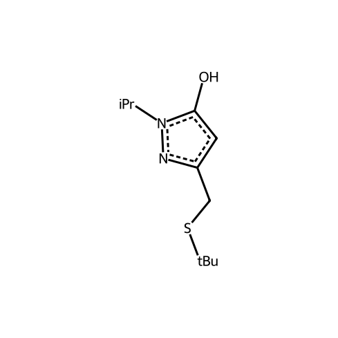 CC(C)n1nc(CSC(C)(C)C)cc1O